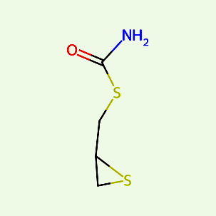 NC(=O)SCC1CS1